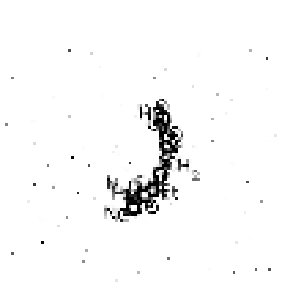 CCc1cc2c(cc1N1CCC(N(C)Cc3cc(F)c4c(c3)CN(C3CCC(=O)NC3=O)C4=O)CC1)C(C)(C)c1[nH]c3cc(C#N)ccc3c1C2=O